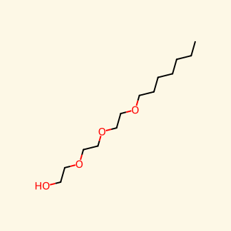 CCCCCCCOCCOCCOCCO